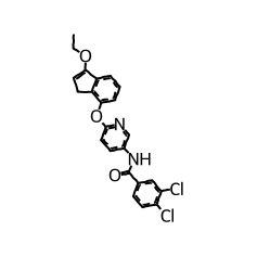 CCOC1=CCc2c(Oc3ccc(NC(=O)c4ccc(Cl)c(Cl)c4)cn3)cccc21